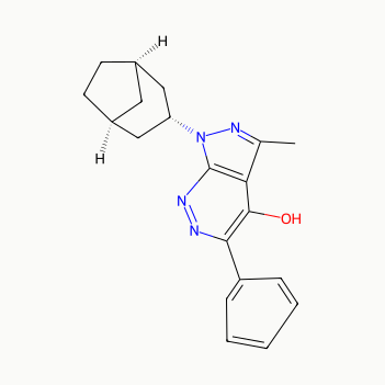 Cc1nn([C@H]2C[C@@H]3CC[C@@H](C3)C2)c2nnc(-c3ccccc3)c(O)c12